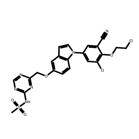 CS(=O)(=O)Nc1ncnc(COc2ccc3c(ccn3-c3cc(Cl)c(OCCCl)c(C#N)c3)c2)n1